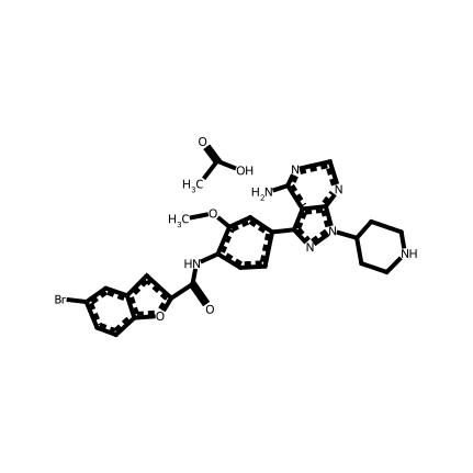 CC(=O)O.COc1cc(-c2nn(C3CCNCC3)c3ncnc(N)c23)ccc1NC(=O)c1cc2cc(Br)ccc2o1